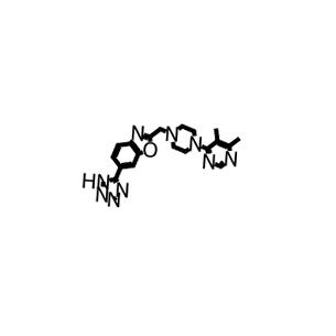 Cc1ncnc(N2CCN(Cc3nc4ccc(-c5nnn[nH]5)cc4o3)CC2)c1C